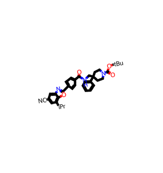 CC(C)c1cc(C#N)cc2nc(-c3ccc(C(=O)NCC4(c5ccccc5)CCN(C(=O)OC(C)(C)C)CC4)cc3)oc12